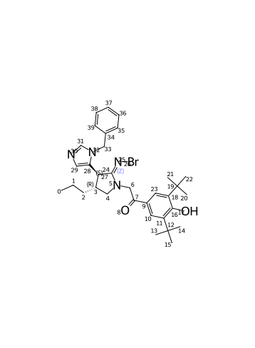 CCC[C@H]1CN(CC(=O)c2cc(C(C)(C)C)c(O)c(C(C)(C)C)c2)/C(=N\Br)[C@@H]1c1cncn1Cc1ccccc1